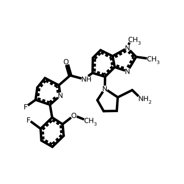 COc1cccc(F)c1-c1nc(C(=O)Nc2ccc3c(nc(C)n3C)c2N2CCCC2CN)ccc1F